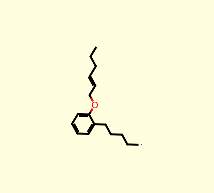 [CH2]CCCCc1ccccc1OC/C=C/CCC